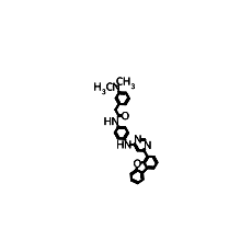 CN(C)c1cccc(CC(=O)Nc2ccc(Nc3cc(-c4cccc5c4oc4ccccc45)ncn3)cc2)c1